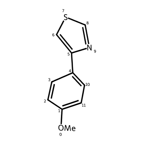 COc1ccc(-c2cscn2)cc1